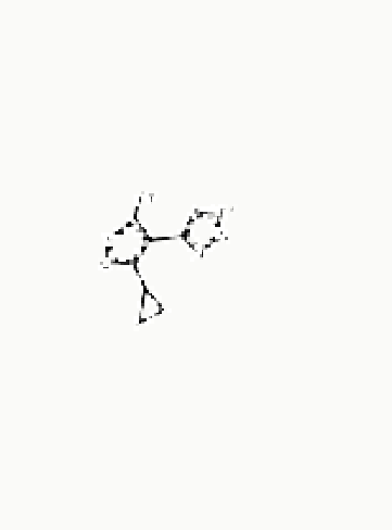 CC(C)c1noc(C2CC2)c1-c1c[nH]nn1